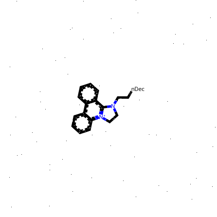 CCCCCCCCCCCCN1CC[n+]2c1c1ccccc1c1ccccc12